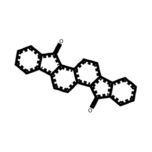 O=c1c2ccccc2c2ccc3c(ccc4c5ccccc5c(=O)c43)c12